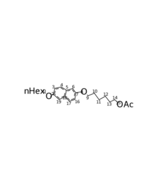 CCCCCCOc1ccc2cc(OCCCCCCOC(C)=O)ccc2c1